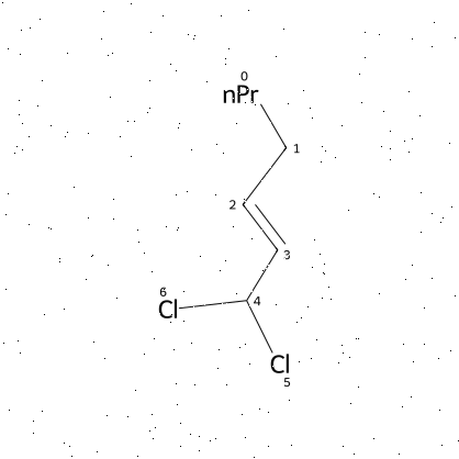 CCCCC=CC(Cl)Cl